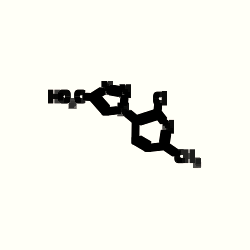 Cc1ccc(-n2cc(C(=O)O)nn2)c(Cl)n1